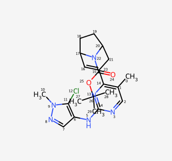 Cc1cnc(Nc2cnn(C)c2Cl)nc1C1=CC2CCC(C1)N2C(=O)OC(C)(C)C